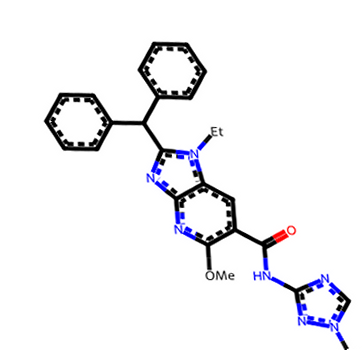 CCn1cnc(NC(=O)c2cc3c(nc2OC)nc(C(c2ccccc2)c2ccccc2)n3CC)n1